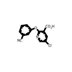 N#Cc1cccc(Oc2ncc(Cl)cc2C(=O)O)c1